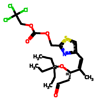 CC[Si](CC)(CC)O[C@@H](CC=O)C(C)=Cc1csc(COC(=O)OCC(Cl)(Cl)Cl)n1